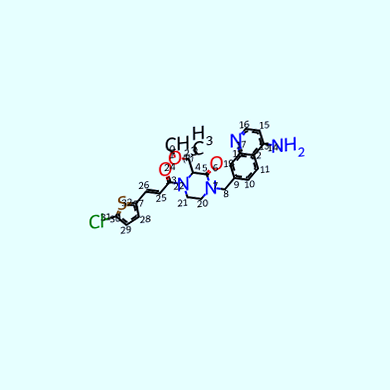 CO[C@H](C)C1C(=O)N(Cc2ccc3c(N)ccnc3c2)CCN1C(=O)C=Cc1ccc(Cl)s1